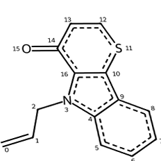 C=CCn1c2ccccc2c2sccc(=O)c21